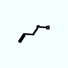 C=CC[P]Cl